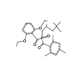 CCOc1cccc(OCC)c1C(=O)P(=O)(CC(C)CC(C)(C)C)C(=O)c1c(C)cc(C)cc1C